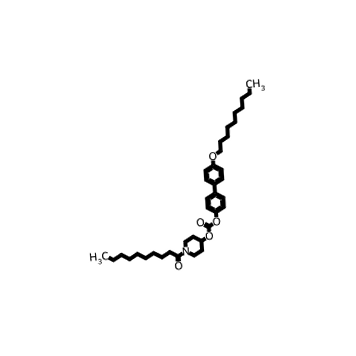 CCCCCCCCCCOc1ccc(-c2ccc(OC(=O)OC3CCN(C(=O)CCCCCCCCC)CC3)cc2)cc1